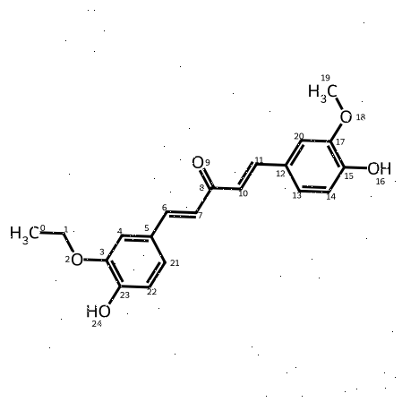 CCOc1cc(/C=C/C(=O)/C=C/c2ccc(O)c(OC)c2)ccc1O